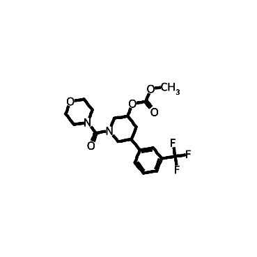 COC(=O)OC1CC(c2cccc(C(F)(F)F)c2)CN(C(=O)N2CCOCC2)C1